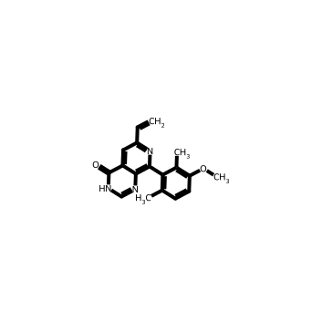 C=Cc1cc2c(=O)[nH]cnc2c(-c2c(C)ccc(OC)c2C)n1